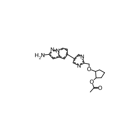 CC(=O)OC1CCCC1OCc1ncc(-c2ccn3nc(N)cc3c2)cn1